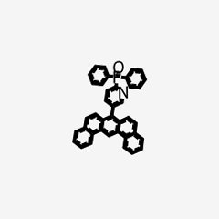 O=P(c1ccccc1)(c1ccccc1)c1ccc(-c2c3ccc4ccccc4c3cc3c2ccc2ccccc23)cn1